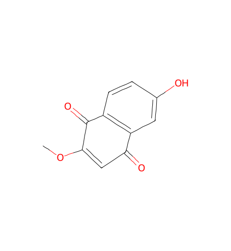 COC1=CC(=O)c2cc(O)ccc2C1=O